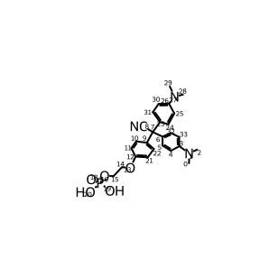 CN(C)c1ccc(C(C#N)(c2ccc(OCCOP(=O)(O)O)cc2)c2ccc(N(C)C)cc2)cc1